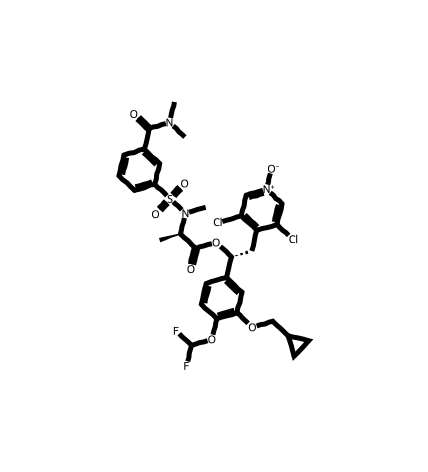 C[C@H](C(=O)O[C@H](Cc1c(Cl)c[n+]([O-])cc1Cl)c1ccc(OC(F)F)c(OCC2CC2)c1)N(C)S(=O)(=O)c1cccc(C(=O)N(C)C)c1